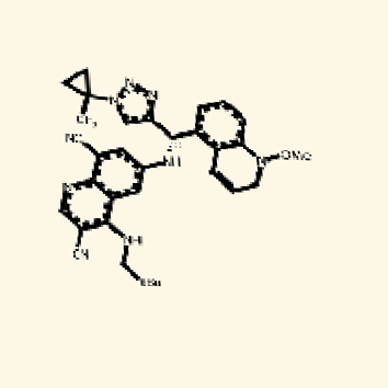 CON1CC=Cc2c([C@H](Nc3cc(C#N)c4ncc(C#N)c(NCC(C)(C)C)c4c3)c3cn(C4(C(F)(F)F)CC4)nn3)cccc21